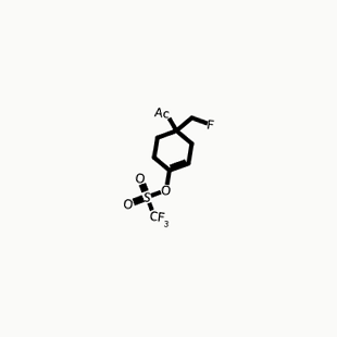 CC(=O)C1(CF)CC=C(OS(=O)(=O)C(F)(F)F)CC1